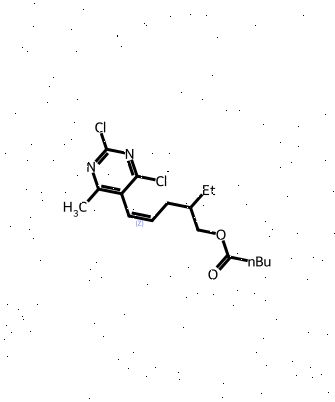 CCCCC(=O)OCC(CC)C/C=C\c1c(C)nc(Cl)nc1Cl